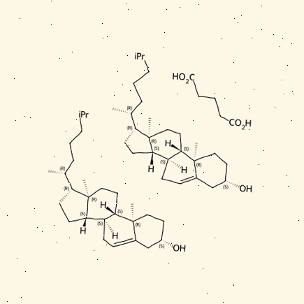 CC(C)CCC[C@@H](C)[C@H]1CC[C@H]2[C@@H]3CC=C4C[C@@H](O)CC[C@]4(C)[C@H]3CC[C@]12C.CC(C)CCC[C@@H](C)[C@H]1CC[C@H]2[C@@H]3CC=C4C[C@@H](O)CC[C@]4(C)[C@H]3CC[C@]12C.O=C(O)CCCC(=O)O